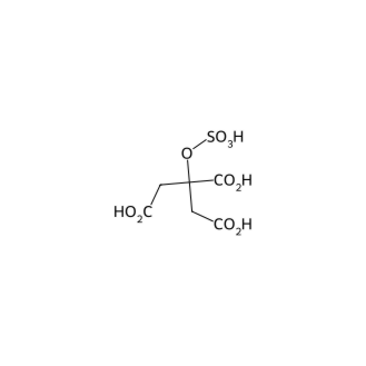 O=C(O)CC(CC(=O)O)(OS(=O)(=O)O)C(=O)O